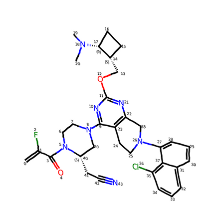 C=C(F)C(=O)N1CCN(c2nc(OC[C@H]3CC[C@H]3N(C)C)nc3c2CCN(c2cccc4cccc(Cl)c24)C3)C[C@@H]1CC#N